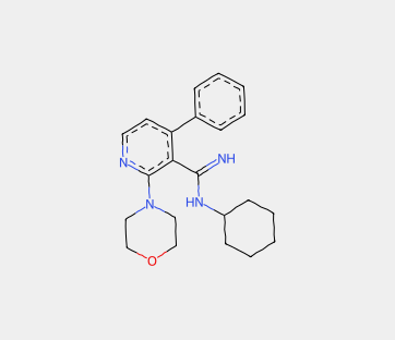 N=C(NC1CCCCC1)c1c(-c2ccccc2)ccnc1N1CCOCC1